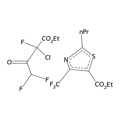 CCCc1nc(C(F)(F)F)c(C(=O)OCC)s1.CCOC(=O)C(F)(Cl)C(=O)C(F)F